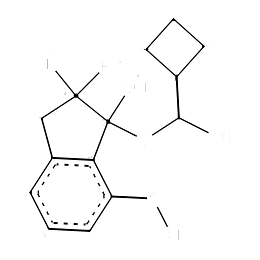 CC(OC1(O)c2c(cccc2SC(F)(F)F)CC1(F)F)C1CCC1